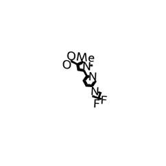 COC(=O)c1cc(-c2ccc(N3CC(F)(F)C3)cn2)n(C)c1